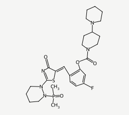 CP(C)(=O)N1CCCCN1C1=NC(=O)/C(=C/c2ccc(F)cc2OC(=O)N2CCC(N3CCCCC3)CC2)S1